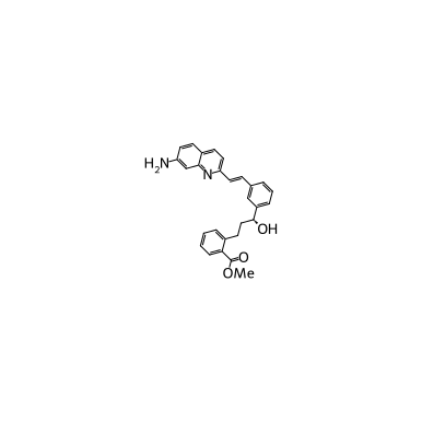 COC(=O)c1ccccc1CC[C@H](O)c1cccc(/C=C/c2ccc3ccc(N)cc3n2)c1